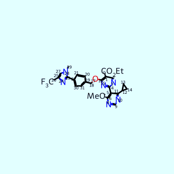 CCOC(=O)c1cnc(-c2c(OC)ncnc2C2CC2)nc1OCc1ccc(-c2nc(C(F)(F)F)cn2C)cc1